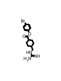 N=C(N)NCC1CCC(C(=O)Oc2ccc(Br)cc2)CC1